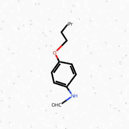 CC(C)CCOc1ccc(NC=O)cc1